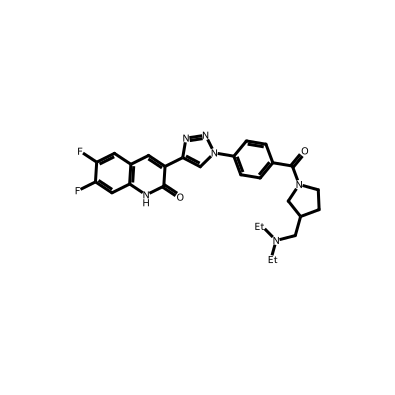 CCN(CC)CC1CCN(C(=O)c2ccc(-n3cc(-c4cc5cc(F)c(F)cc5[nH]c4=O)nn3)cc2)C1